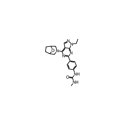 CCn1ncc2c(N3CC4CCC(C3)O4)nc(-c3ccc(NC(=O)NC)cc3)nc21